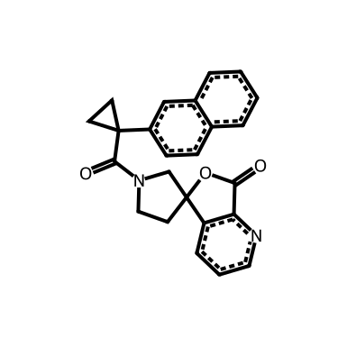 O=C1OC2(CCN(C(=O)C3(c4ccc5ccccc5c4)CC3)C2)c2cccnc21